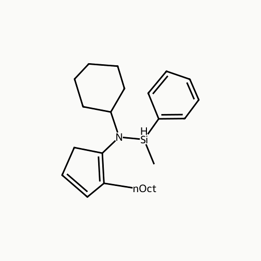 CCCCCCCCC1=C(N(C2CCCCC2)[SiH](C)c2ccccc2)CC=C1